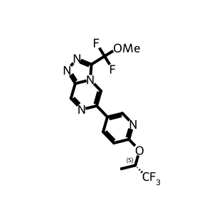 COC(F)(F)c1nnc2cnc(-c3ccc(O[C@@H](C)C(F)(F)F)nc3)cn12